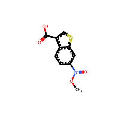 CO[N+](=O)c1ccc2c(C(=O)O)csc2c1